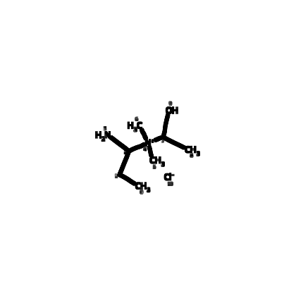 CCC(N)[N+](C)(C)C(C)O.[Cl-]